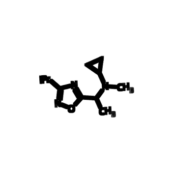 CC(C)c1noc(C(C)N(C)C2CC2)n1